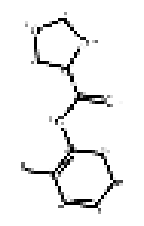 CC1=C(OC(=O)C2COCO2)CCC=C1